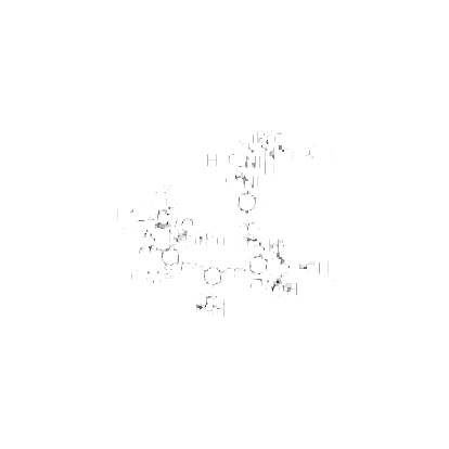 C=CCOC(=O)N[C@H](C(=O)N[C@@H](C)C(=O)Nc1ccc(COC(=O)Nc2cc(OCc3cc(COc4cc5c(cc4OC)C(=O)N4CC(=C)C[C@H]4[C@H](OC4CCCCO4)N5C(=O)OC(C)(C)C)cc(C(=O)OC(C)(C)C)c3)c(OC)cc2C(=O)N2CC(=C)C[C@H]2CO)cc1)C(C)C